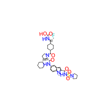 Cn1c(C(=O)NS(=O)(=O)N2CCCC2)cc2cc(NC(=O)[C@@H]3[C@H](C4CCCCC4)CCN3C(=O)C3CCC([C@@H](CF)NC(=O)O)CC3)ccc21